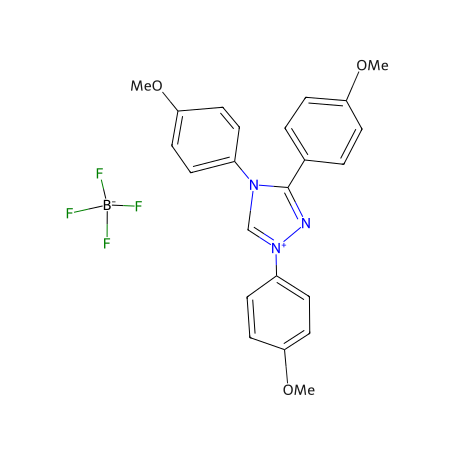 COc1ccc(-c2n[n+](-c3ccc(OC)cc3)cn2-c2ccc(OC)cc2)cc1.F[B-](F)(F)F